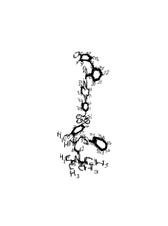 Cc1cc(S(=O)(=O)NC(=O)c2ccc(N3CCN(Cc4ccccc4-c4ccc(Cl)cc4)CC3)cc2)ccc1N[C@H](CCN(C(C)C)C(C)C)CSc1ccccc1